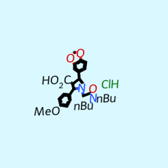 CCCCN(CCCC)C(=O)CN1CC(c2ccc3c(c2)OCO3)C(C(=O)O)C1c1ccc(OC)cc1.Cl